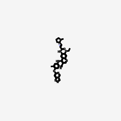 CCOc1cc2ncc(C#N)c(Nc3ccc(Oc4cc5nncn5cn4)c(C)c3)c2cc1NC(=O)/C=C/[C@H]1CCCN1C